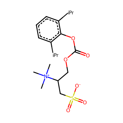 CC(C)c1cccc(C(C)C)c1OC(=O)OCC(CS(=O)(=O)[O-])[N+](C)(C)C